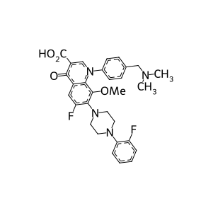 COc1c(N2CCN(c3ccccc3F)CC2)c(F)cc2c(=O)c(C(=O)O)cn(-c3ccc(CN(C)C)cc3)c12